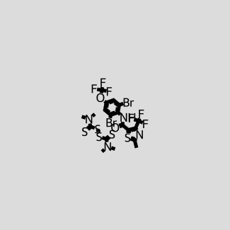 CN(C)C(=S)SSC(=S)N(C)C.Cc1nc(C(F)(F)F)c(C(=O)Nc2c(Br)cc(OC(F)(F)F)cc2Br)s1